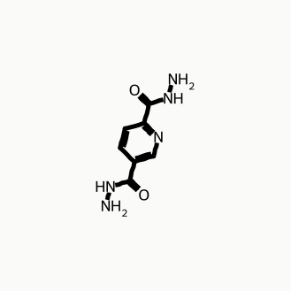 NNC(=O)c1ccc(C(=O)NN)nc1